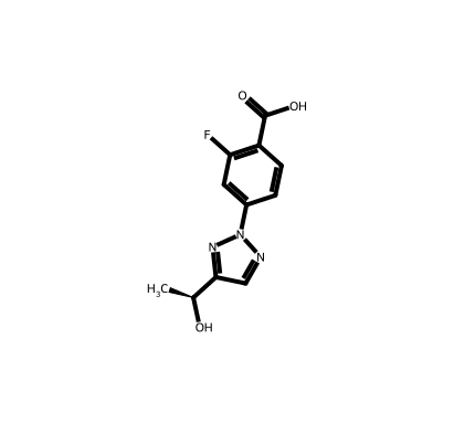 C[C@H](O)c1cnn(-c2ccc(C(=O)O)c(F)c2)n1